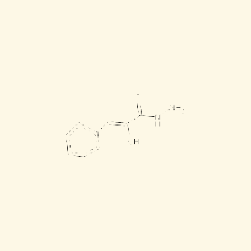 C/C(=C\c1ccccc1)C(=O)NN